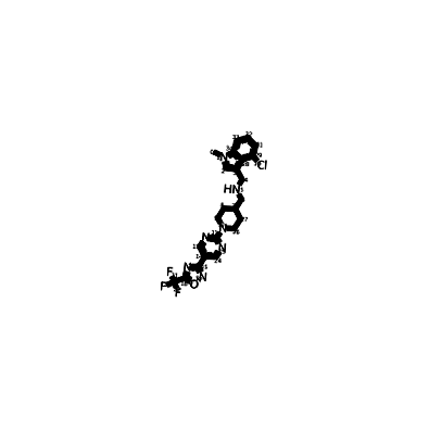 Cn1cc(CNCC2CCN(c3ncc(-c4noc(C(F)(F)F)n4)cn3)CC2)c2c(Cl)cccc21